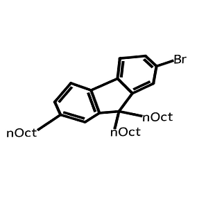 CCCCCCCCc1ccc2c(c1)C(CCCCCCCC)(CCCCCCCC)c1cc(Br)ccc1-2